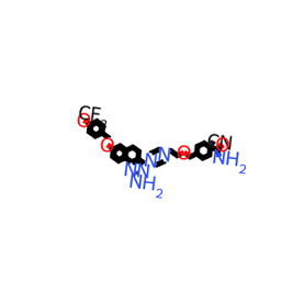 N#CC1(C(N)=O)CCC(COCCN2CCN(c3nc(N)nc4c3CCc3cc(OCc5ccc(OC(F)(F)F)cc5)ccc3-4)CC2)CC1